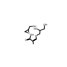 CC(=COCC(O)CO)C(=O)O.OCC1CO1